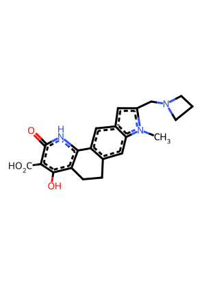 Cn1c(CN2CCC2)cc2cc3c(cc21)CCc1c-3[nH]c(=O)c(C(=O)O)c1O